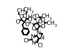 C#C[C@@]1(OC(C)=O)[C@@H](COC(Cc2ccccc2)(C(=O)OCC)C(=O)OCC)O[C@@H](n2cnc3c(Cl)nc(Cl)nc32)[C@@H]1OC(C)=O